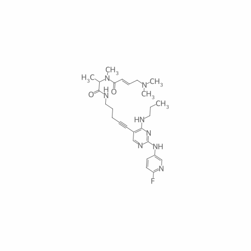 CCCNc1nc(Nc2ccc(F)nc2)ncc1C#CCCCNC(=O)C(C)N(C)C(=O)C=CCN(C)C